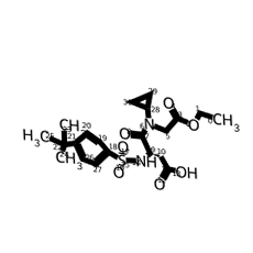 CCOC(=O)CN(C(=O)[C@H](CC(=O)O)NS(=O)(=O)c1ccc(C(C)(C)C)cc1)C1CC1